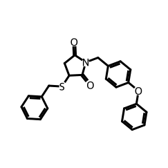 O=C1CC(SCc2ccccc2)C(=O)N1Cc1ccc(Oc2ccccc2)cc1